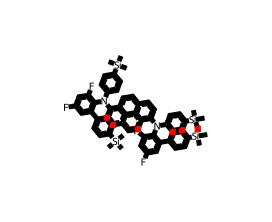 C[Si](C)(C)c1ccc(-c2cc(F)cc(F)c2N(c2ccc([Si](C)(C)C)cc2)c2ccc3ccc4c(N(c5ccc([Si](C)(C)C)cc5)c5c(F)cc(F)cc5-c5ccc([Si](C)(C)C)cc5)ccc5ccc2c3c54)cc1